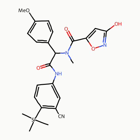 COc1ccc(C(C(=O)Nc2ccc([Si](C)(C)C)c(C#N)c2)N(C)C(=O)c2cc(O)no2)cc1